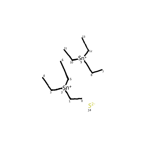 C[CH2][Sn+]([CH2]C)[CH2]C.C[CH2][Sn+]([CH2]C)[CH2]C.[S-2]